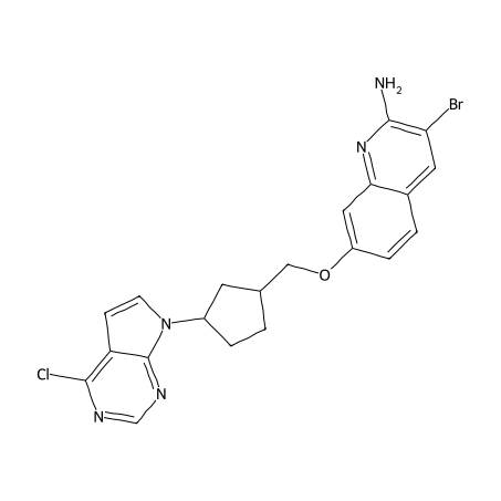 Nc1nc2cc(OCC3CCC(n4ccc5c(Cl)ncnc54)C3)ccc2cc1Br